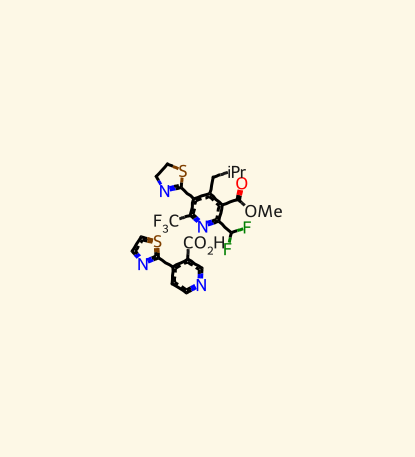 COC(=O)c1c(C(F)F)nc(C(F)(F)F)c(C2=NCCS2)c1CC(C)C.O=C(O)c1cnccc1-c1nccs1